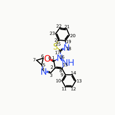 O=c1c(/C=N\C2CC2)c(-c2ccccc2)[nH]n1-c1nc2ccccc2s1